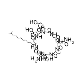 CC(C)CCCCCCCCCC1CC(=O)N[C@@H](CC(=O)O)C(=O)N[C@H](Cc2ccc(O)cc2)C(=O)NCC(=O)N[C@@H](CCC(N)=O)C(=O)N2CCCC2C(=O)N[C@H](CO)C(=O)N[C@@H](CC(N)=O)C(=O)N1